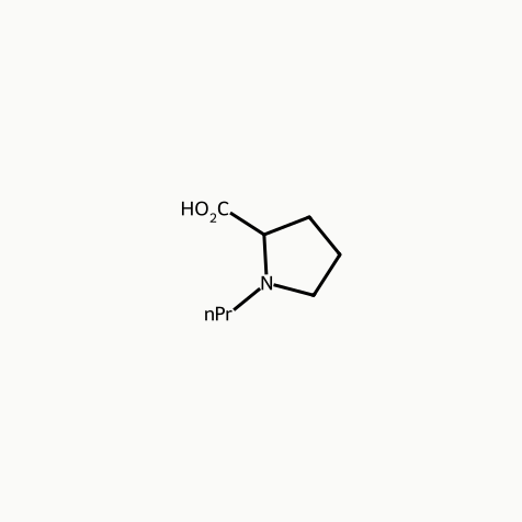 CCCN1CCCC1C(=O)O